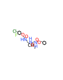 C=C(CCNC(=O)COc1ccc(Cl)c(F)c1)NC(=O)CNC(=O)OCc1ccccc1